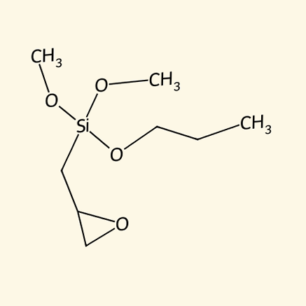 CCCO[Si](CC1CO1)(OC)OC